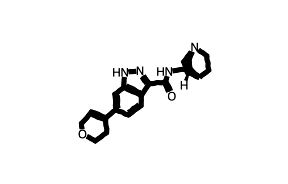 O=C(N[C@@H]1CN2CCC1CC2)c1n[nH]c2cc(C3=CCOCC3)ccc12